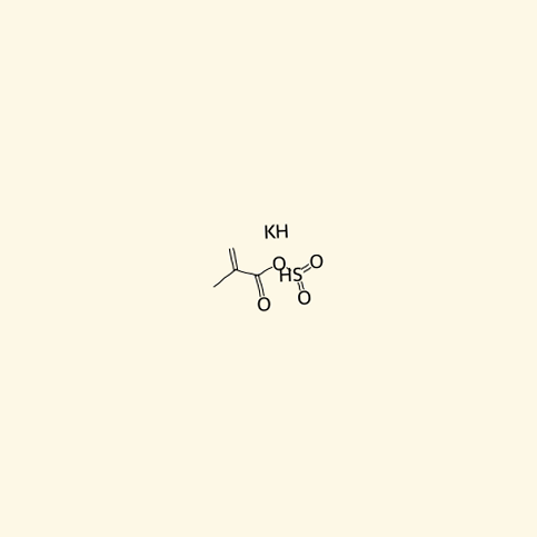 C=C(C)C(=O)O[SH](=O)=O.[KH]